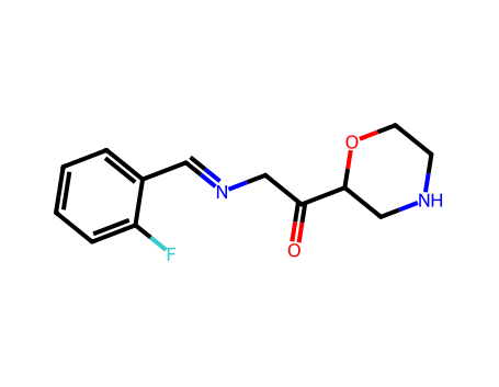 O=C(CN=Cc1ccccc1F)C1CNCCO1